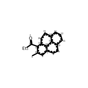 CCC(=O)c1c(C)cc2ccc3cccc4ccc1c2c34